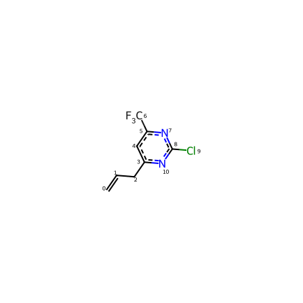 C=CCc1cc(C(F)(F)F)nc(Cl)n1